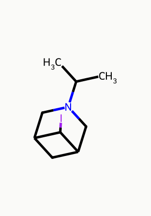 CC(C)N1CC2CC(C1)C2I